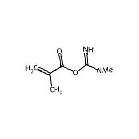 C=C(C)C(=O)OC(=N)NC